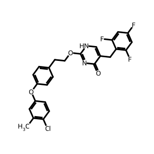 Cc1cc(Oc2ccc(CCOc3nc(=O)c(Cc4c(F)cc(F)cc4F)c[nH]3)cc2)ccc1Cl